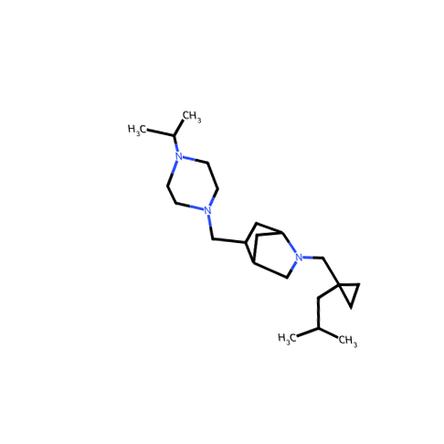 CC(C)CC1(CN2CC3CC2CC3CN2CCN(C(C)C)CC2)CC1